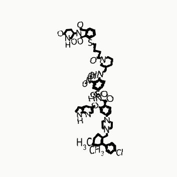 CC1(C)CCC(CN2CCN(c3ccc(C(=O)NS(=O)(=O)c4ccc(NCC5CCCN(C(=O)CCCSc6cccc7c6C(=O)N(C6CCC(=O)NC6=O)C7=O)C5)c([N+](=O)[O-])c4)c(Oc4cnc5[nH]ccc5c4)c3)CC2)=C(c2ccc(Cl)cc2)C1